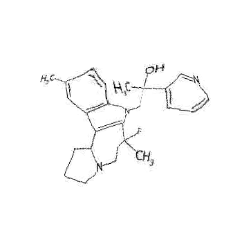 Cc1ccc2c(c1)c1c(n2CC(C)(O)c2cccnc2)C(C)(F)CN2CCCC12